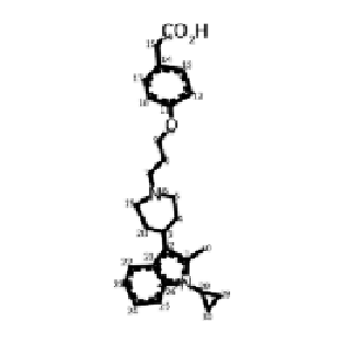 Cc1c(C2CCN(CCCOc3ccc(CC(=O)O)cc3)CC2)c2ccccc2n1C1CC1